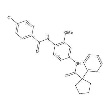 COc1cc(NC(=O)C2(c3ccccc3)CCCC2)ccc1NC(=O)c1ccc(Cl)cc1